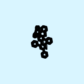 c1ccc(-c2cc(-c3ccccc3)nc(-c3ccccc3-c3cccc4c3Sc3ccccc3C43c4ccccc4-c4ccccc43)n2)cc1